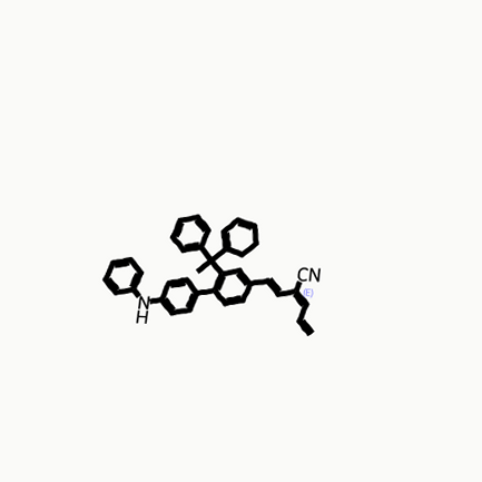 C=C/C=C(/C#N)C=Cc1ccc(-c2ccc(Nc3ccccc3)cc2)c(C(C)(C2=CC=CCC2)c2ccccc2)c1